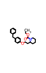 CCOC(=O)N1CCCCC1CCOc1ccc(Cc2ccccc2)cc1